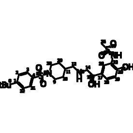 CC(C)(C)c1ccc(S(=O)(=O)N2CCC(CNC[C@H](O)c3ccc(O)c(NS(C)(=O)=O)c3)CC2)cc1